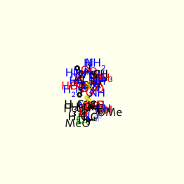 COc1cc2cc(c1Cl)N(C)C(=O)C[C@H](OC(=O)[C@H](C)N(C)C(=O)CCSSCCC(=O)NCCNC(=O)[C@H](Cc1c[nH]c3ccccc13)NC(=O)[C@@H]1CSSC[C@H](NC(=O)[C@H](N)Cc3ccccc3)C(=O)N[C@@H](Cc3ccc(O)cc3)C(=O)N[C@H](Cc3c[nH]c4ccccc34)C(=O)N[C@@H](CCCCN)C(=O)N[C@@H]([C@@H](C)O)C(=O)N1)[C@]1(C)O[C@H]1[C@H](C)[C@@H]1C[C@@](O)(NC(=O)O1)[C@H](OC)/C=C/C=C(\C)C2